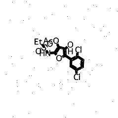 CCS(=O)(=O)Nc1oc(-c2cc(Cl)ccc2Cl)c(O)c1OC(C)=O